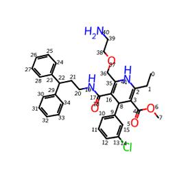 CCC1=C(C(=O)OC)C(c2cccc(Cl)c2)C(C(=O)NCCC(c2ccccc2)c2ccccc2)=C(COCCN)N1